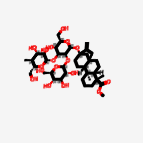 C=C1C[C@@]23CC[C@H]4[C@@](C)(CCC[C@@]4(C)C(=O)OC)[C@@H]2CC[C@]1(O[C@@H]1O[C@H](CO)[C@@H](O)[C@H](O[C@@H]2O[C@H](CO)[C@@H](C)[C@H](O)[C@H]2O)[C@H]1O[C@@H]1O[C@H](CO)[C@@H](O)[C@H](O)[C@H]1O)C3